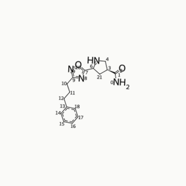 NC(=O)[C@@H]1CNC(c2nc(CCCc3ccccc3)no2)C1